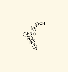 O=C(Nc1cc2sc(N3CCOCC3)nc2nc1N1CCCCC1)c1coc(N2CCC(O)C2)n1